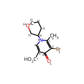 Cc1c(Br)c(=O)c(C(=O)O)cn1C1CCCOC1